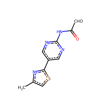 Cc1csc(-c2cnc(NC(=O)C=O)nc2)n1